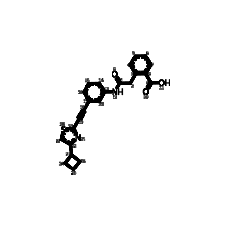 O=C(Cc1ccccc1C(=O)O)Nc1cccc(C#Cc2nc(C3CCC3)cs2)c1